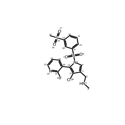 CNCc1cn(S(=O)(=O)c2cccc(S(C)(=O)=O)c2)c(-c2cccnc2F)c1Cl